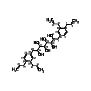 C=CCc1ccc(C=C(O)C(O)C(O)C(O)C(O)C(O)=Cc2ccc(CC=C)c(CC=C)c2)cc1CC=C